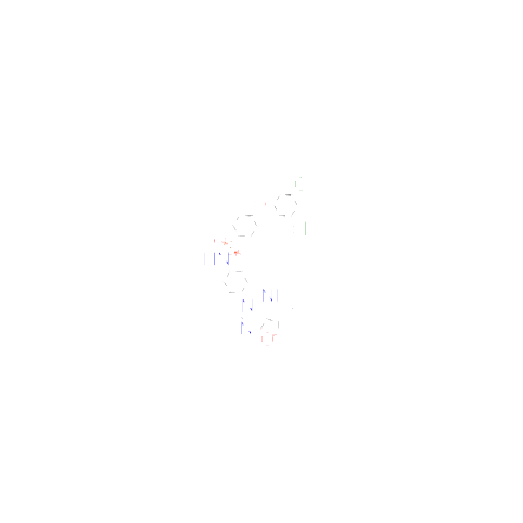 NC1c2ccoc2N=CN1c1ccc(NS(=O)(=O)c2ccc(Oc3cc(Cl)cc(Cl)c3)cc2)cc1